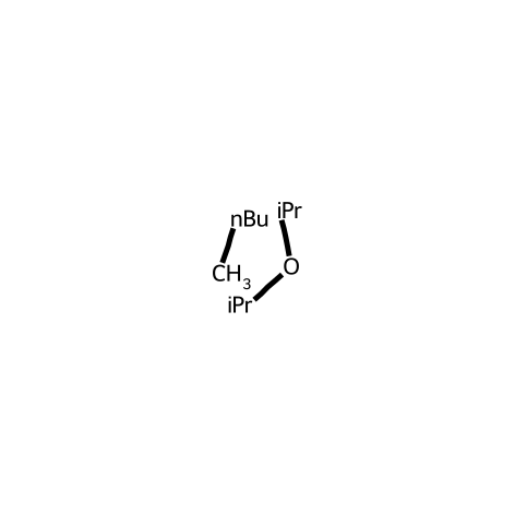 CC(C)OC(C)C.CCCCC